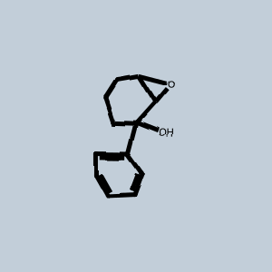 OC1(c2ccccc2)CCCC2OC21